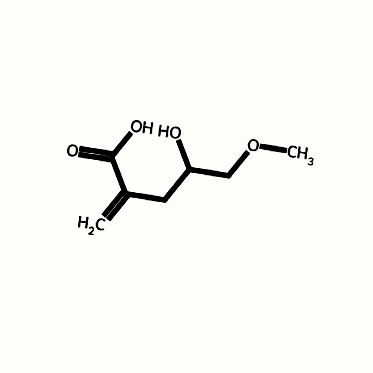 C=C(CC(O)COC)C(=O)O